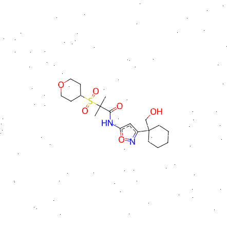 CC(C)(C(=O)Nc1cc(C2(CO)CCCCC2)no1)S(=O)(=O)C1CCOCC1